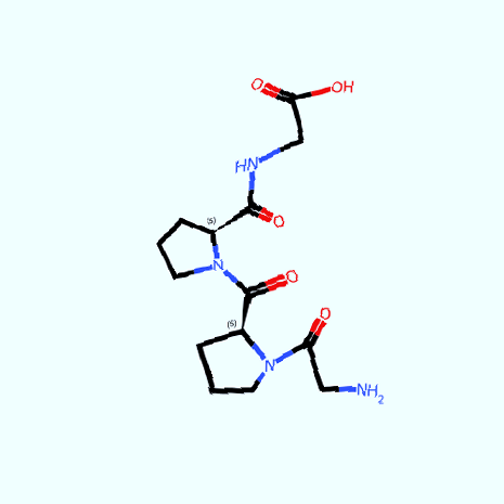 NCC(=O)N1CCC[C@H]1C(=O)N1CCC[C@H]1C(=O)NCC(=O)O